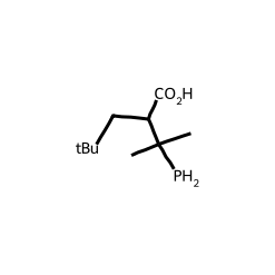 CC(C)(C)CC(C(=O)O)C(C)(C)P